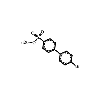 CCCCOS(=O)(=O)c1ccc(-c2ccc(Br)cc2)cc1